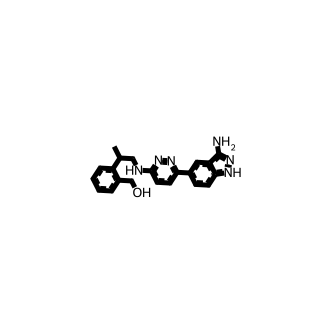 CC(CNc1ccc(-c2ccc3[nH]nc(N)c3c2)nn1)c1ccccc1CO